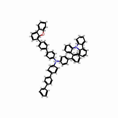 c1ccc(-c2ccc(-c3ccc(N(c4ccc(-c5ccc(-c6cccc7c6oc6ccccc67)cc5)cc4)c4ccc(-c5ccccc5-c5ccccc5-n5c6ccccc6c6ccccc65)cc4)cc3)cc2)cc1